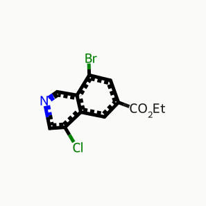 CCOC(=O)c1cc(Br)c2cncc(Cl)c2c1